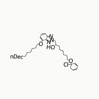 CCCCCCCCCCCCCCCCOc1cccc2nn(CC(O)CCCCCCOC3(Cl)C=CC=CC3)nc12